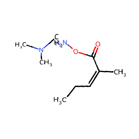 CCC=C(C)C(=O)ON.CN(C)C